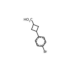 O=C(O)C1CC(c2ccc(Br)cc2)C1